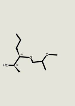 CCC[C@@H](OCC(C)OC)[C@@H](C)O